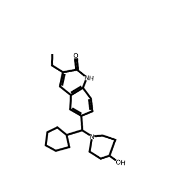 CCc1cc2cc(C(C3CCCCC3)N3CCC(O)CC3)ccc2[nH]c1=O